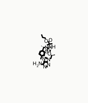 CCCOC(=O)C(C)(C)NP(=O)(CO[C@@H](C)Cn1cnc2c(N)ncnc21)N[C@@H](C)c1ccc(C)cc1